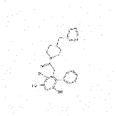 O=C(Cc1c(Br)c(O)cc(O)c1-c1ccccc1)N1CCN(Cc2ccccc2)CC1